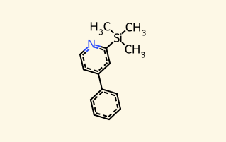 C[Si](C)(C)c1cc(-c2ccccc2)ccn1